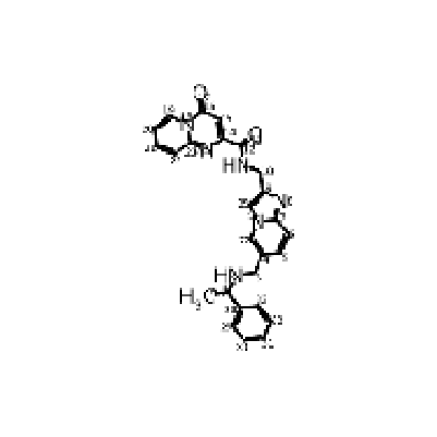 C[C@@H](NCc1ccc2nc(CNC(=O)c3cc(=O)n4ccccc4n3)cn2c1)c1ccccc1